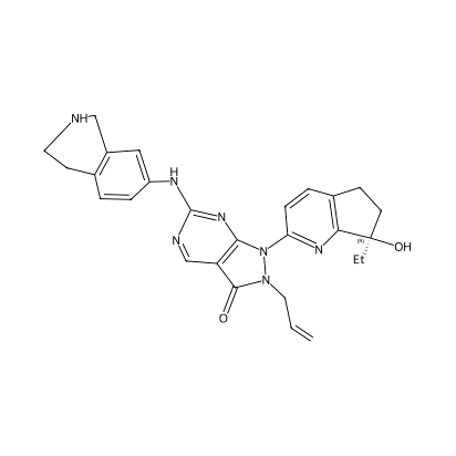 C=CCn1c(=O)c2cnc(Nc3ccc4c(c3)CNCC4)nc2n1-c1ccc2c(n1)[C@@](O)(CC)CC2